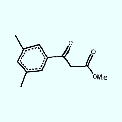 COC(=O)CC(=O)c1cc(C)cc(C)c1